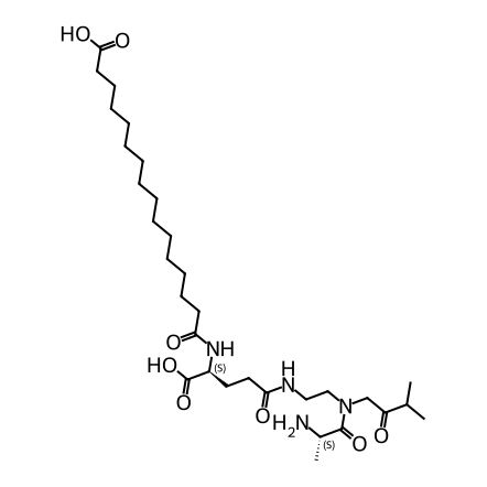 CC(C)C(=O)CN(CCNC(=O)CC[C@H](NC(=O)CCCCCCCCCCCCCCC(=O)O)C(=O)O)C(=O)[C@H](C)N